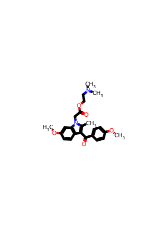 COc1ccc(C(=O)c2c(C)n(CC(=O)OCCN(C)C)c3cc(OC)ccc23)cc1